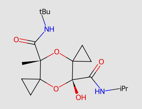 CC(C)NC(=O)[C@]1(O)OC2(CC2)[C@](C)(C(=O)NC(C)(C)C)OC12CC2